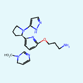 NCCCOc1cccc([C@H]2CCCN2c2ccn[nH]2)n1.O=C(O)N1C=NC=CC1